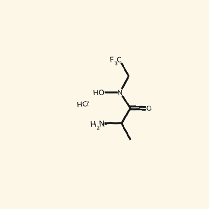 CC(N)C(=O)N(O)CC(F)(F)F.Cl